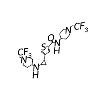 O=C(NC1CCN(CC(F)(F)F)CC1)c1cc(C2CC2NC2CCN(CC(F)(F)F)CC2)cs1